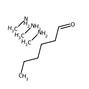 CCCCCC=O.CN.CN.CN